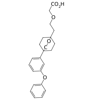 O=C(O)COCCC12CCC(c3cccc(Oc4ccccc4)c3)(CC1)CO2